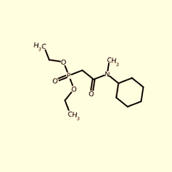 CCOP(=O)(CC(=O)N(C)C1CCCCC1)OCC